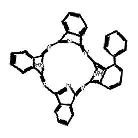 c1ccc(-c2cccc3c4nc5nc(nc6[nH]c(nc7nc(nc([nH]4)c23)-c2ccccc2-7)c2ccccc62)-c2ccccc2-5)cc1